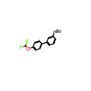 CCCCc1cccc(-c2[c]cc(OC(F)F)cc2)c1